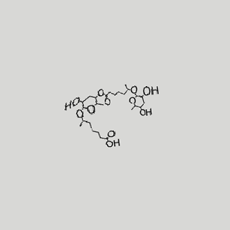 CC1O[C@@H](O[C@H](C)CCCCC(=O)O[C@@H]2C[C@H](O)[C@H](O[C@H](C)CCCCC(=O)O)OC2C)[C@@H](O)C[C@H]1O